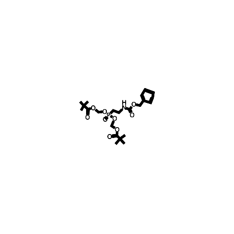 CC(C)(C)C(=O)OCOP(=O)(CCNC(=O)OCc1ccccc1)OCOC(=O)C(C)(C)C